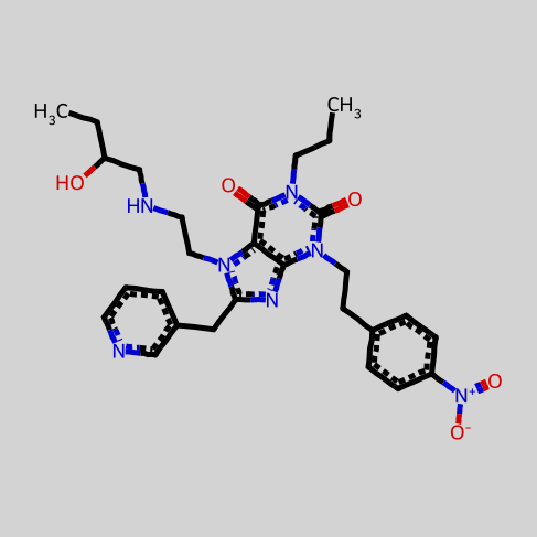 CCCn1c(=O)c2c(nc(Cc3cccnc3)n2CCNCC(O)CC)n(CCc2ccc([N+](=O)[O-])cc2)c1=O